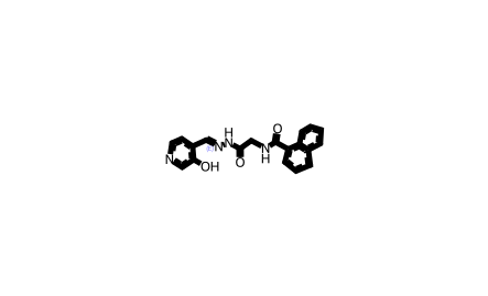 O=C(CNC(=O)c1cccc2ccccc12)N/N=C/c1ccncc1O